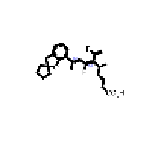 C=C(F)/C(=C(F)\C=C(/C)c1cccc2c1OC1(CCCC1)C2)C(C)CCCC(=O)O